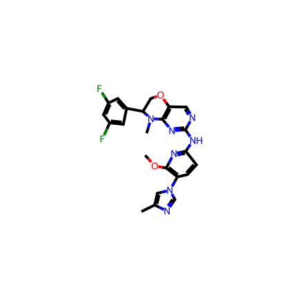 COc1nc(Nc2ncc3c(n2)N(C)C(c2cc(F)cc(F)c2)CO3)ccc1-n1cnc(C)c1